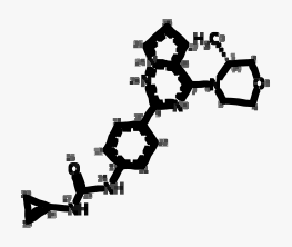 C[C@@H]1COCCN1c1nc(-c2ccc(NC(=O)NC3=CC3)cc2)nn2cccc12